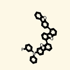 Fc1cccc(N(c2ccccc2)c2ccc3c(c2)oc2c(-c4cccc5c4oc4cccc(-c6ccc7c(c6)oc6ccccc67)c45)cccc23)c1